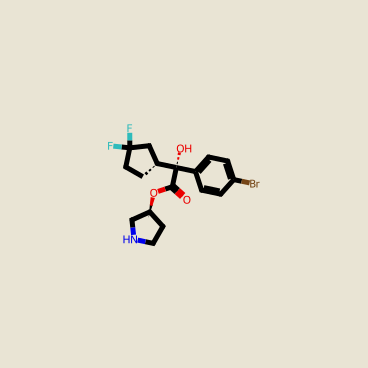 O=C(O[C@H]1CCNC1)[C@](O)(c1ccc(Br)cc1)[C@@H]1CCC(F)(F)C1